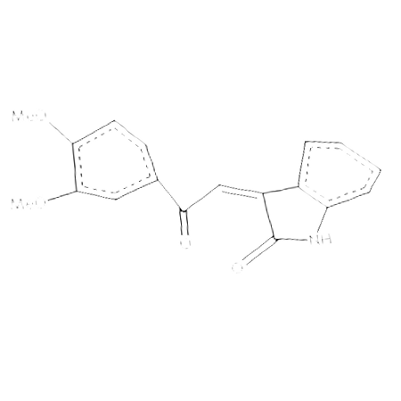 COc1ccc(C(=O)C=C2C(=O)Nc3ccccc32)cc1OC